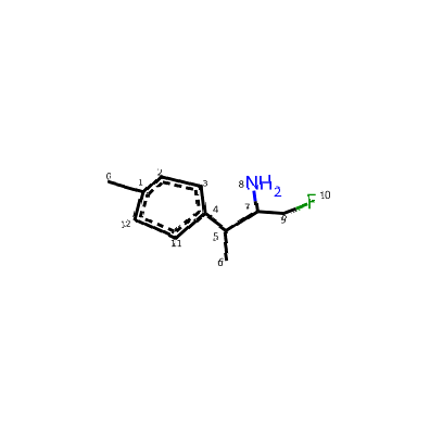 Cc1ccc(C(C)C(N)CF)cc1